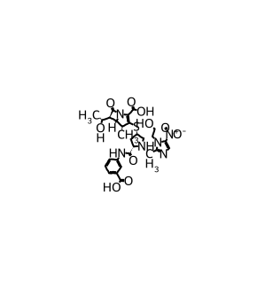 C[C@@H](O)[C@H]1C(=O)N2C(C(=O)O)=C(S[C@@H]3CN[C@H](C(=O)Nc4cccc(C(=O)O)c4)C3)[C@H](C)[C@H]12.Cc1ncc([N+](=O)[O-])n1CCO